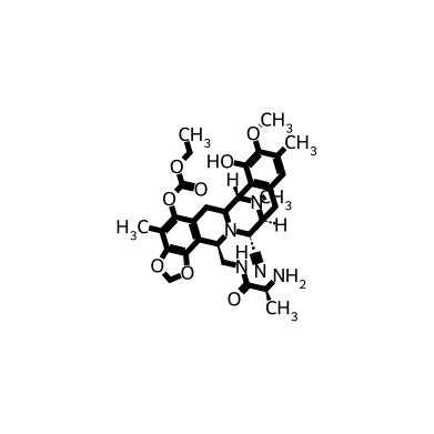 CCOC(=O)Oc1c(C)c2c(c3c1CC1[C@@H]4c5c(cc(C)c(OC)c5O)C[C@@H]([C@H](C#N)N1[C@H]3CNC(=O)[C@H](C)N)N4C)OCO2